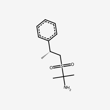 C[C@@H](CS(=O)(=O)C(C)(C)N)c1ccccc1